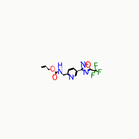 C=CCOC(=O)NCc1ccc(-c2noc(C(F)(F)F)n2)cn1